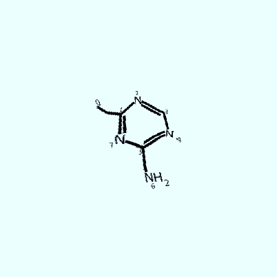 Cc1n[c]nc(N)n1